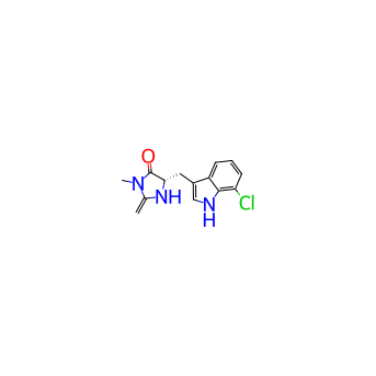 C=C1N[C@@H](Cc2c[nH]c3c(Cl)cccc23)C(=O)N1C